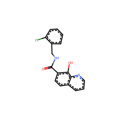 O=C(NCc1ccccc1Cl)c1ccc2cccnc2c1O